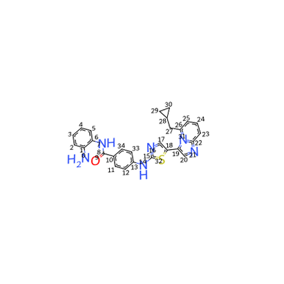 Nc1ccccc1NC(=O)c1ccc(Nc2ncc(-c3cnc4cccc(CC5CC5)n34)s2)cc1